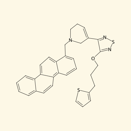 C1=C(c2nsnc2OCCCc2cccs2)CN(Cc2cccc3c2ccc2c4ccccc4ccc32)CC1